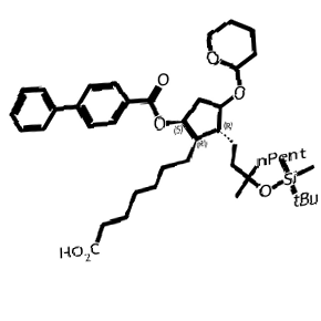 CCCCCC(C)(CC[C@H]1C(OC2CCCCO2)C[C@H](OC(=O)c2ccc(-c3ccccc3)cc2)[C@@H]1CCCCCCC(=O)O)O[Si](C)(C)C(C)(C)C